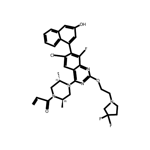 C=CC(=O)N1C[C@H](C)N(c2nc(OCCN3CCC(F)(F)C3)nc3c(F)c(-c4cc(O)cc5ccccc45)c(Cl)cc23)C[C@H]1C